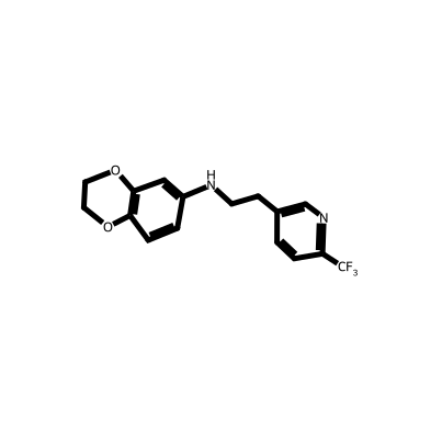 FC(F)(F)c1ccc(CCNc2ccc3c(c2)OCCO3)cn1